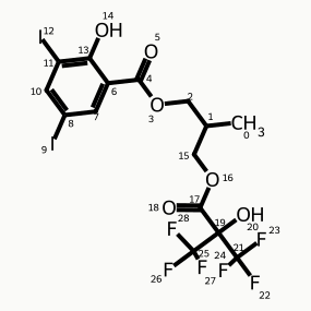 CC(COC(=O)c1cc(I)cc(I)c1O)COC(=O)C(O)(C(F)(F)F)C(F)(F)F